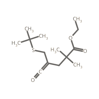 CCOC(=O)C(C)(C)CC(=C=O)CSC(C)(C)C